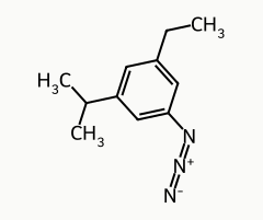 CCc1cc(N=[N+]=[N-])cc(C(C)C)c1